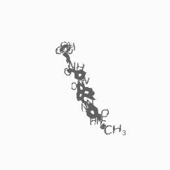 CCCNC(=O)c1ccc2nc3n(c2c1)Cc1ccc2c4c1c-3ccc4c(=O)n1c3cc(C(=O)NCCCS(=O)(=O)O)ccc3nc21